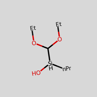 CCC[SiH](O)C(OCC)OCC